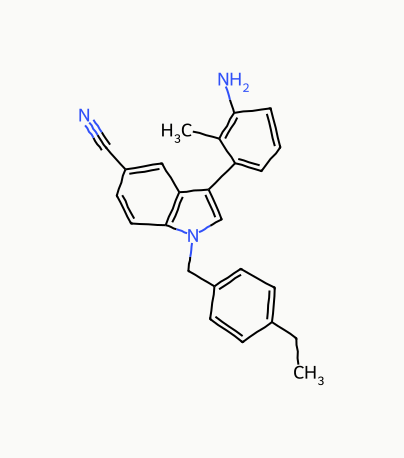 CCc1ccc(Cn2cc(-c3cccc(N)c3C)c3cc(C#N)ccc32)cc1